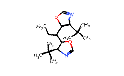 CCC(C1OC=NC1C(C)(C)C)C1OC=NC1C(C)(C)C